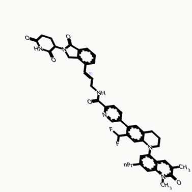 CCCc1cc(N2CCCc3cc(-c4ccc(C(=O)NC/C=C/c5cccc6c5CN(C5CCC(=O)NC5=O)C6=O)nc4)c(C(F)F)cc32)c2cc(C)c(=O)n(C)c2c1